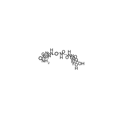 Nc1ccccc1NC(=O)c1cnc(NCc2ccc(CNC(=O)CCC(=O)Nc3ccn(C4OC(CO)C(O)C4(F)F)c(=O)n3)cc2)cn1